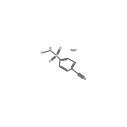 N#Cc1ccc(S(=O)(=O)NCl)cc1.[NaH]